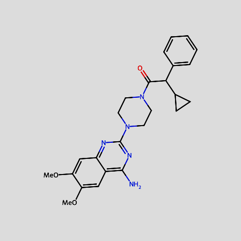 COc1cc2nc(N3CCN(C(=O)C(c4ccccc4)C4CC4)CC3)nc(N)c2cc1OC